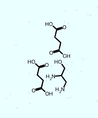 NCC(N)CO.O=C(O)CCC(=O)O.O=C(O)CCC(=O)O